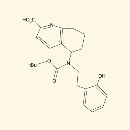 CC(C)(C)OC(=O)N(CCc1ccccc1O)C1CCCc2nc(C(=O)O)ccc21